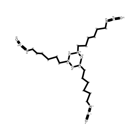 O=C=NCCCCCCN1ON(CCCCCCN=C=O)ON(CCCCCCN=C=O)O1